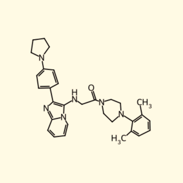 Cc1cccc(C)c1N1CCN(C(=O)CNc2c(-c3ccc(N4CCCC4)cc3)nc3ccccn23)CC1